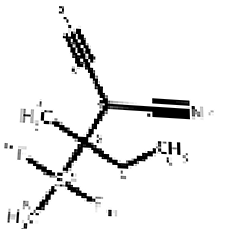 CCC(C)(C(C#N)C#N)S(C)(F)F